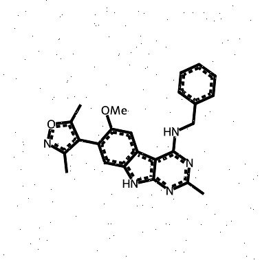 COc1cc2c(cc1-c1c(C)noc1C)[nH]c1nc(C)nc(NCc3ccccc3)c12